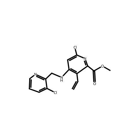 C=Cc1c(NCc2ncccc2Cl)cc(Cl)nc1C(=O)OC